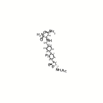 CC(=O)NC[C@H]1CN(c2ccc(-c3ccc(CN[C@H](CC(N)=O)C(N)=O)cc3)c(F)c2)C(=O)O1